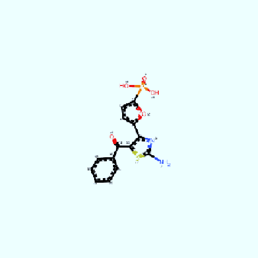 Nc1nc(-c2ccc(P(=O)(O)O)o2)c(C(=O)c2ccccc2)s1